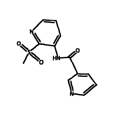 CS(=O)(=O)c1ncccc1NC(=O)c1cccnc1